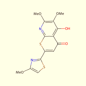 COc1csc(-c2cc(=O)c3c(O)c(OC)c(OC)nc3s2)n1